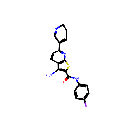 Nc1c(C(=O)Nc2ccc(I)cc2)sc2nc(C3=CCCN=C3)ccc12